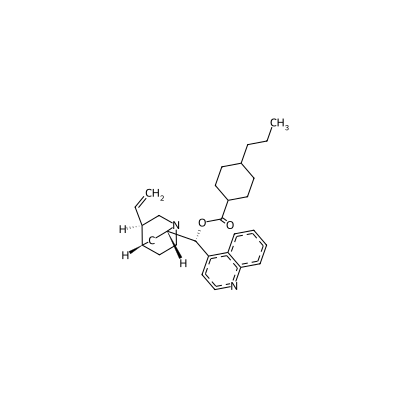 C=C[C@H]1CN2CC[C@H]1C[C@H]2[C@H](OC(=O)C1CCC(CCC)CC1)c1ccnc2ccccc12